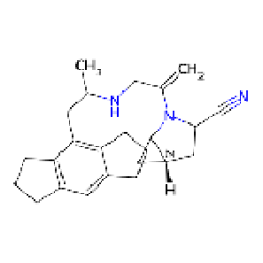 C=C(CNC(C)Cc1c2c(cc3c1CCC3)CCC2)N1C(C#N)C[C@@H]2CC21